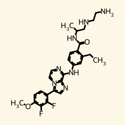 CCc1cc(Nc2nccn3c(-c4ccc(OC)c(F)c4F)cnc23)ccc1C(=O)NC(C)CNCCN